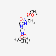 CC(=O)OCCN1C(=O)C2(CCCN(C3CCN(C(=O)OC(C)(C)C)CC3)C2)N=C1C